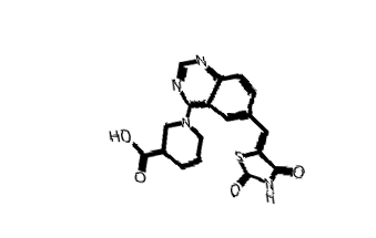 O=C1NC(=O)C(=Cc2ccc3ncnc(N4CCCC(C(=O)O)C4)c3c2)S1